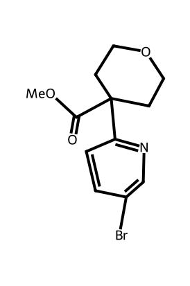 COC(=O)C1(c2ccc(Br)cn2)CCOCC1